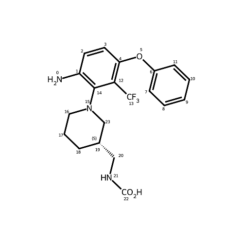 Nc1ccc(Oc2ccccc2)c(C(F)(F)F)c1N1CCC[C@@H](CNC(=O)O)C1